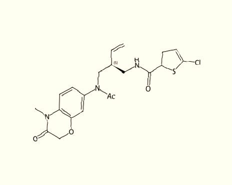 C=C[C@@H](CNC(=O)C1CC=C(Cl)S1)CN(C(C)=O)c1ccc2c(c1)OCC(=O)N2C